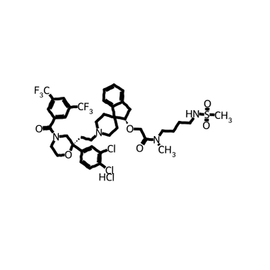 CN(CCCCNS(C)(=O)=O)C(=O)CO[C@H]1Cc2ccccc2C12CCN(CC[C@@]1(c3ccc(Cl)c(Cl)c3)CN(C(=O)c3cc(C(F)(F)F)cc(C(F)(F)F)c3)CCO1)CC2.Cl